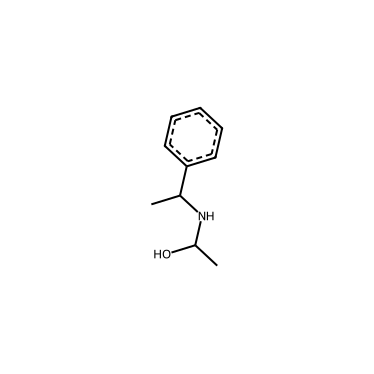 CC(O)NC(C)c1ccccc1